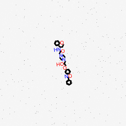 O=C(CN1CCN(C[C@@H](O)COc2ccc3oc(-c4ccccc4)nc3c2)CC1)NC1CCOc2ccccc21